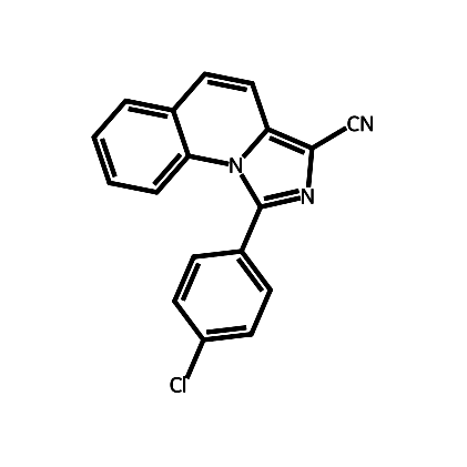 N#Cc1nc(-c2ccc(Cl)cc2)n2c1ccc1ccccc12